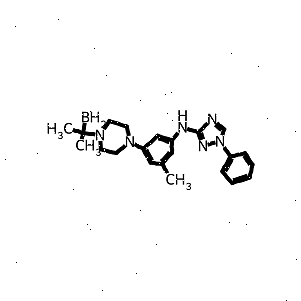 BC(C)(C)N1CCN(c2cc(C)cc(Nc3ncn(-c4ccccc4)n3)c2)CC1